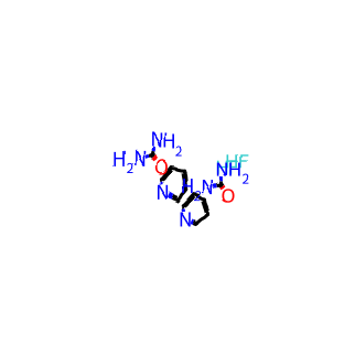 F.F.NC(N)=O.NC(N)=O.c1ccncc1.c1ccncc1